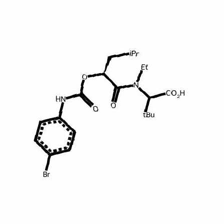 CCN(C(=O)[C@H](CC(C)C)OC(=O)Nc1ccc(Br)cc1)C(C(=O)O)C(C)(C)C